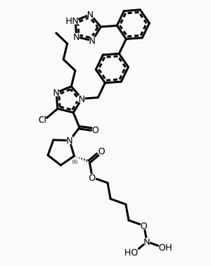 CCCCc1nc(Cl)c(C(=O)N2CCC[C@H]2C(=O)OCCCCON(O)O)n1Cc1ccc(-c2ccccc2-c2nn[nH]n2)cc1